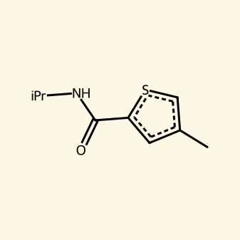 Cc1csc(C(=O)NC(C)C)c1